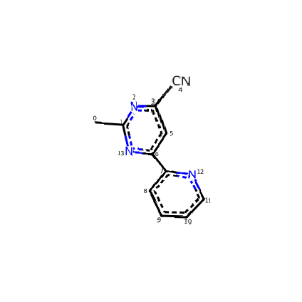 Cc1nc(C#N)cc(-c2ccccn2)n1